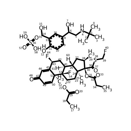 CC(C)(C)NCC(O)c1ccc(O)c(CO)c1.CCC(=O)O[C@H]1C[C@@]2(C)[C@@H](C[C@@H](C)[C@]2(OC(=O)CC)C(=O)SCF)[C@@H]2C[C@H](F)C3=CC(=O)C=C[C@]3(C)[C@@]12F.O=S(=O)(O)O